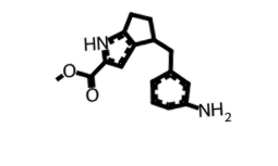 COC(=O)c1cc2c([nH]1)CCC2Cc1cccc(N)c1